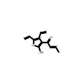 C=Cc1oc(S)c(C(=O)/C=C/C)c1C=C